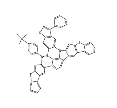 CC(C)(C)c1ccc(N2B3c4cc5occ(-c6ccccc6)c5cc4-n4c5cc6sc7ccccc7c6cc5c5ccc(c3c54)-c3cc4c(cc32)sc2ccccc24)cc1